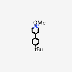 CO[n+]1ccc(-c2ccc(C(C)(C)C)cc2)cc1